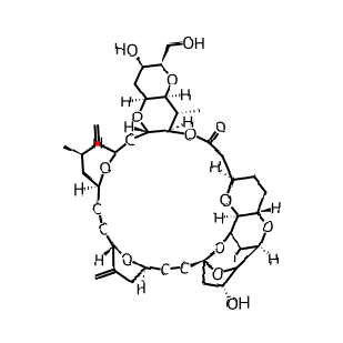 C=C1C[C@@H]2CC[C@]34C[C@@H](O)C(O3)[C@@H]3O[C@H]5CC[C@H](CC(=O)O[C@@H]6[C@@H](C)[C@@H]7O[C@H](CO)[C@H](O)C[C@@H]7O[C@H]6C[C@H]6O[C@@H](CC[C@@H]1O2)C[C@@H](C)C6=C)O[C@@H]5C(O4)C3I